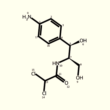 Nc1ccc([C@@H](O)[C@@H](CO)NC(=O)C(Cl)Cl)cc1